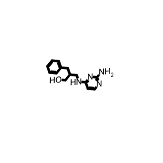 Nc1nccc(NCC(CO)Cc2ccccc2)n1